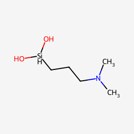 CN(C)CCC[SiH](O)O